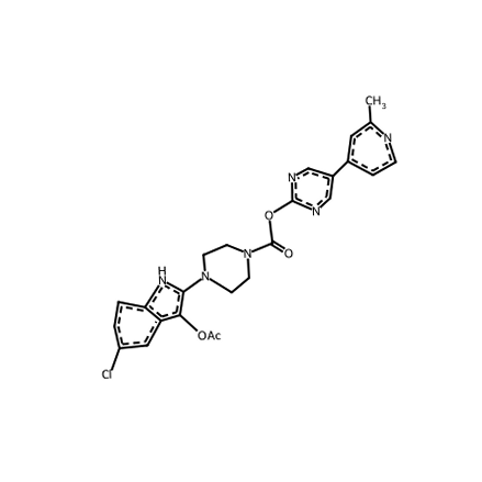 CC(=O)Oc1c(N2CCN(C(=O)Oc3ncc(-c4ccnc(C)c4)cn3)CC2)[nH]c2ccc(Cl)cc12